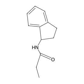 CCC(=O)NC1CCc2ccccc21